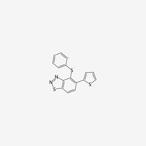 [c]1ccccc1Sc1c(-c2cccs2)ccc2snnc12